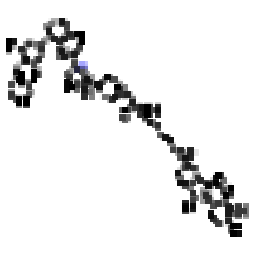 N=C/C(=C\NC1CCN(CC(=O)NCCCCCNc2ccc3c(c2)C(=O)N(C2CCC(=O)NC2=O)C3=O)CC1)c1cnc2cccc(-c3cc(F)c(CN4CCOCC4)c(F)c3)c2n1